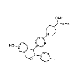 COC(OC)C1CCN(c2ccc([C@@H]3c4ccc(O)cc4CO[C@@H]3c3ccc(C)cc3)cc2)CC1